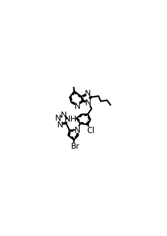 CCCCc1nc2c(C)ccnc2n1Cc1ccc(-n2cc(Br)cc2-c2nnn[nH]2)c(Cl)c1